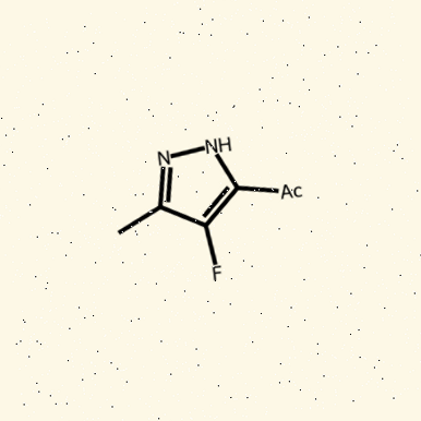 CC(=O)c1[nH]nc(C)c1F